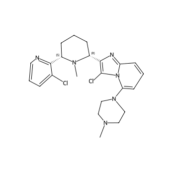 CN1CCN(c2cccc3nc([C@H]4CCC[C@@H](c5ncccc5Cl)N4C)c(Cl)n23)CC1